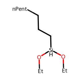 CCCCCCCC[SiH](OCC)OCC